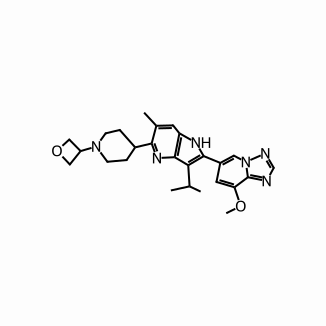 COc1cc(-c2[nH]c3cc(C)c(C4CCN(C5COC5)CC4)nc3c2C(C)C)cn2ncnc12